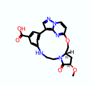 CO[C@@H]1C[C@H]2COc3ccn4ncc(c4n3)-c3cc(cc(C(=O)O)c3)NCCN2C1=O